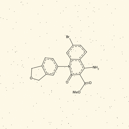 COC(=O)c1c(N)c2ccc(Br)cc2n(-c2ccc3c(c2)COC3)c1=O